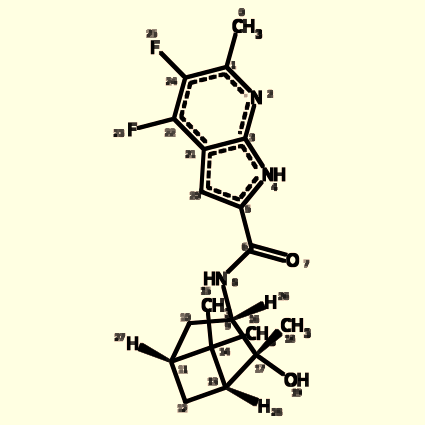 Cc1nc2[nH]c(C(=O)N[C@H]3C[C@H]4C[C@H](C4(C)C)[C@@]3(C)O)cc2c(F)c1F